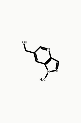 Cn1ncc2ncc(CO)cc21